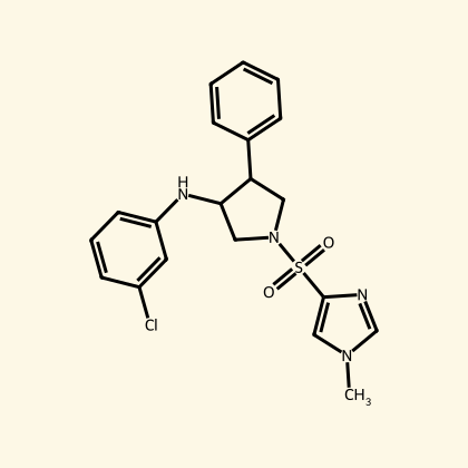 Cn1cnc(S(=O)(=O)N2CC(Nc3cccc(Cl)c3)C(c3ccccc3)C2)c1